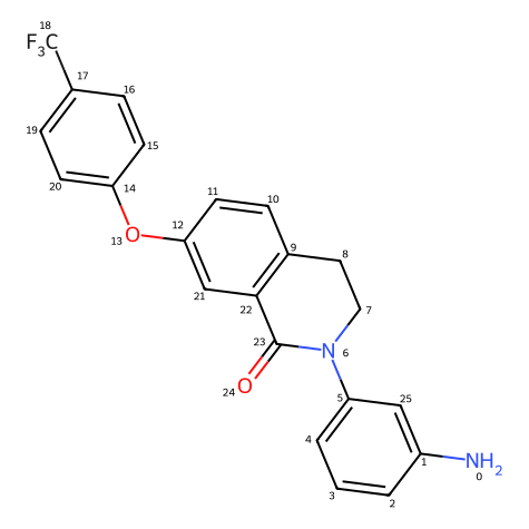 Nc1cccc(N2CCc3ccc(Oc4ccc(C(F)(F)F)cc4)cc3C2=O)c1